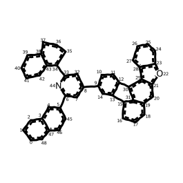 c1ccc2cc(-c3cc(-c4ccc5c(c4)-c4cccc6cc7oc8ccccc8c7c-5c46)cc(-c4cccc5ccccc45)n3)ccc2c1